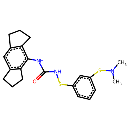 CN(C)Sc1cccc(SNC(=O)Nc2c3c(cc4c2CCC4)CCC3)c1